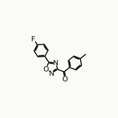 Cc1ccc(C(=O)c2noc(-c3ccc(F)cc3)n2)cc1